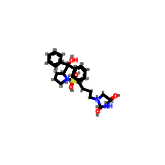 O=C1CN(CCCCS(=O)(=O)N2CCCC2C(O)(c2ccccc2)c2ccccc2)C(=O)N1